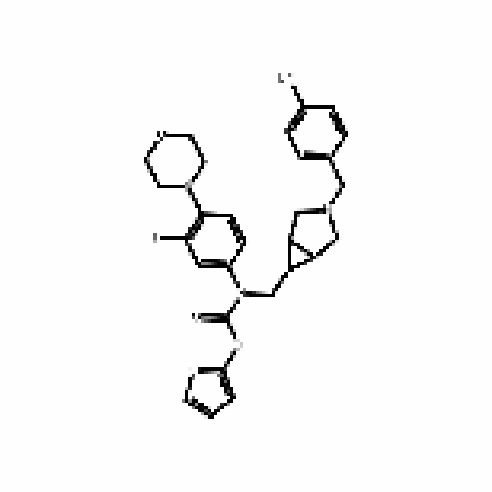 N#Cc1ccc(CN2CC3C(C2)C3CN(C(=O)Oc2cccs2)c2ccc(N3CCOCC3)c(F)c2)cc1